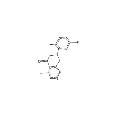 Cc1ccc(F)cc1C1CC(=O)c2c(C)cnnc2C1